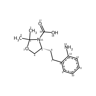 CC1(C)OC[C@@H](CCc2ccccc2N)N1C(=O)O